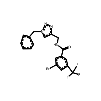 O=C(NCc1cn(Cc2ccccc2)nn1)c1cc(Br)cc(C(F)(F)F)c1